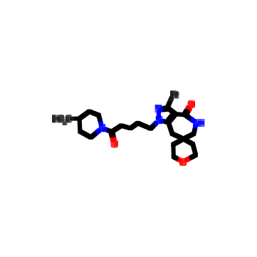 CCc1nn(CCCCC(=O)N2CCC(C(=O)O)CC2)c2c1C(=O)NCC1(CCOCC1)C2